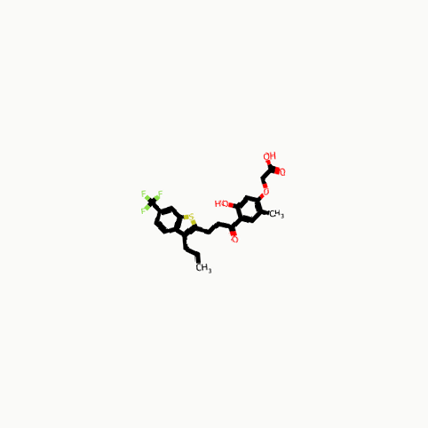 CCCc1c(CCC(=O)c2cc(C)c(OCC(=O)O)cc2O)sc2cc(C(F)(F)F)ccc12